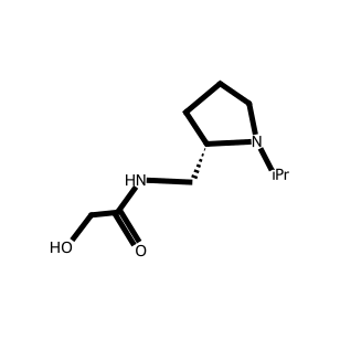 CC(C)N1CCC[C@H]1CNC(=O)CO